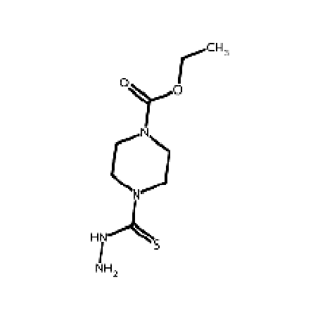 CCOC(=O)N1CCN(C(=S)NN)CC1